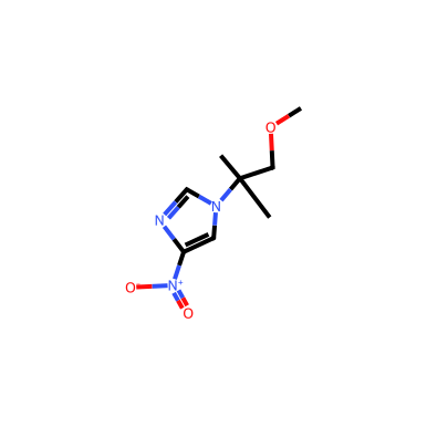 COCC(C)(C)n1cnc([N+](=O)[O-])c1